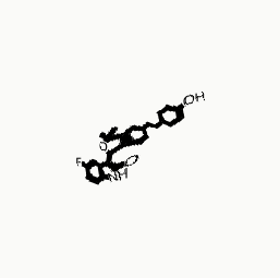 CC1(C)OC(C2C(=O)Nc3ccc(F)cc32)c2ccc(CCC3CCC(O)CC3)cc21